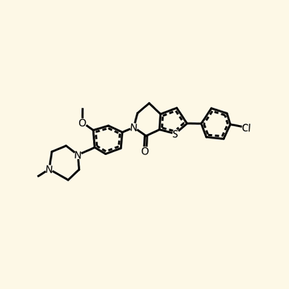 COc1cc(N2CCc3cc(-c4ccc(Cl)cc4)sc3C2=O)ccc1N1CCN(C)CC1